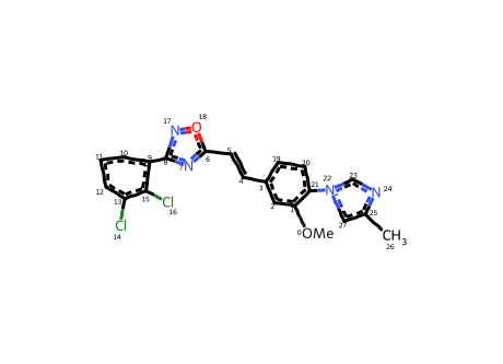 COc1cc(C=Cc2nc(-c3cccc(Cl)c3Cl)no2)ccc1-n1cnc(C)c1